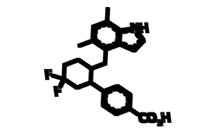 Cc1cc(C)c2[nH]ccc2c1CC1CCC(F)(F)CC1c1ccc(C(=O)O)cc1